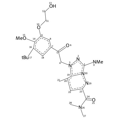 CNc1n[n+](CC(=O)c2cc(OCCO)c(OC)c(C(C)(C)C)c2)c2c(C)cc(C(=O)N(C)C)nn12